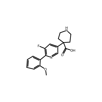 COc1ccccc1-c1ncc(C2(C(=O)O)CCNCC2)cc1F